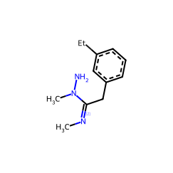 CCc1cccc(C/C(=N/C)N(C)N)c1